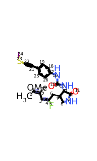 C/C=C(\C=C(\F)C[C@@H]1CNC(=O)[C@H]1NC(=O)Nc1ccc(C#CSI)cc1)OC